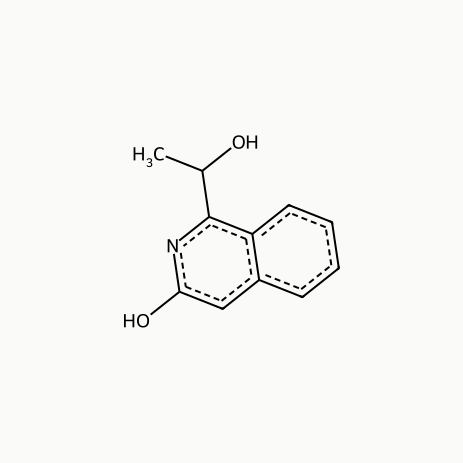 CC(O)c1nc(O)cc2ccccc12